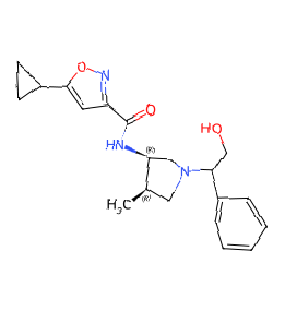 C[C@@H]1CN(C(CO)c2ccccc2)C[C@@H]1NC(=O)c1cc(C2CC2)on1